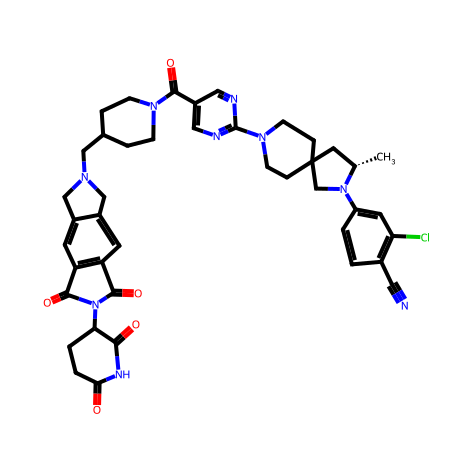 C[C@H]1CC2(CCN(c3ncc(C(=O)N4CCC(CN5Cc6cc7c(cc6C5)C(=O)N(C5CCC(=O)NC5=O)C7=O)CC4)cn3)CC2)CN1c1ccc(C#N)c(Cl)c1